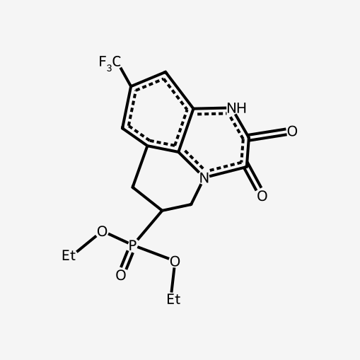 CCOP(=O)(OCC)C1Cc2cc(C(F)(F)F)cc3[nH]c(=O)c(=O)n(c23)C1